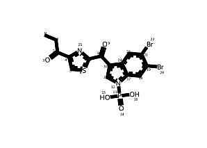 CCC(=O)c1csc(C(=O)c2cn(P(=O)(O)O)c3cc(Br)c(Br)cc23)n1